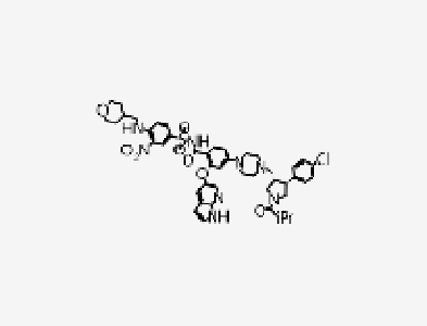 CC(C)C(=O)N1C[C@H](CN2CCN(c3ccc(C(=O)NS(=O)(=O)c4ccc(NCC5CCOCC5)c([N+](=O)[O-])c4)c(Oc4cnc5[nH]ccc5c4)c3)CC2)[C@@H](c2ccc(Cl)cc2)C1